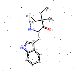 CCC(C)(CC)C(=O)[C@H](Cc1c[nH]c2ccccc12)NC